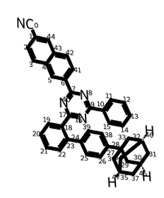 N#Cc1ccc2cc(-c3nc(-c4ccccc4)nc(-c4ccccc4-c4ccc(C56C[C@H]7C[C@H](C5)C[C@@H](C6)C7)cc4)n3)ccc2c1